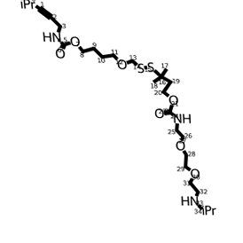 CC(C)C#CCNC(=O)OCCCCOCSSC(C)(C)CCOC(=O)NCCOCCOCCNC(C)C